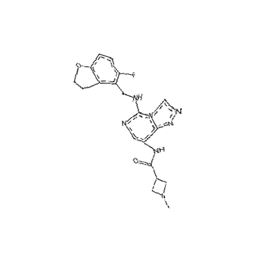 CN1CC(C(=O)Nc2cnc(NCc3c(F)ccc4c3CCO4)n3cnnc23)C1